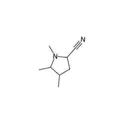 CC1CC(C#N)N(C)C1C